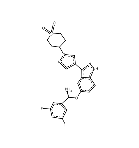 N[C@@H](Oc1ccc2[nH]nc(-c3cnn(C4CCS(=O)(=O)CC4)c3)c2c1)c1cc(F)cc(F)c1